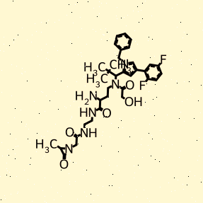 CC1C(=O)N1CC(=O)NCCNC(=O)C(N)CCN(C(=O)CO)C(c1cc(-c2cc(F)ccc2F)cn1Cc1ccccc1)C(C)(C)C